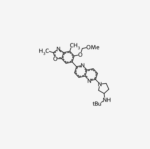 COCOc1c(-c2ccc3nc(N4CCC(NC(C)(C)C)C4)ccc3n2)cc2oc(C)nc2c1C